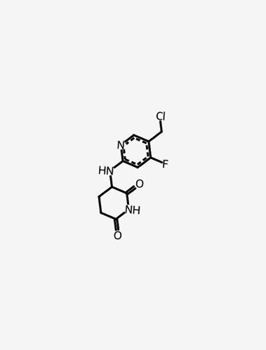 O=C1CCC(Nc2cc(F)c(CCl)cn2)C(=O)N1